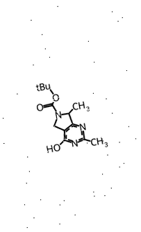 Cc1nc(O)c2c(n1)C(C)N(C(=O)OC(C)(C)C)C2